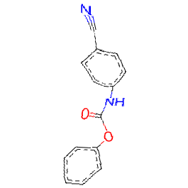 N#Cc1ccc(NC(=O)Oc2ccccc2)cc1